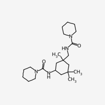 CC1(C)CC(NC(=O)N2CCCCC2)CC(C)(CNC(=O)N2CCCCC2)C1